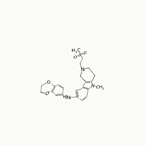 Cn1c2c(c3cc(Nc4ccc5c(c4)OCCO5)ccc31)CN(CCS(C)(=O)=O)CC2